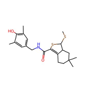 CSC1SC(C(=O)NCc2cc(C)c(O)c(C)c2)=C2CCC(C)(C)CC21